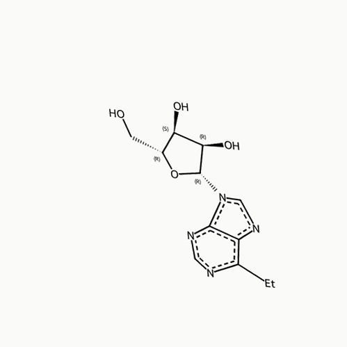 CCc1ncnc2c1ncn2[C@@H]1O[C@H](CO)[C@@H](O)[C@H]1O